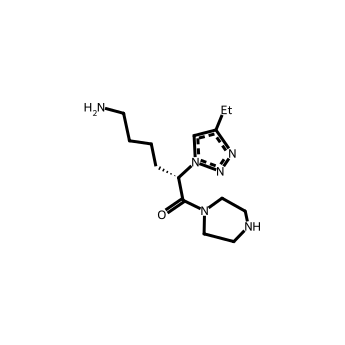 CCc1cn([C@@H](CCCCN)C(=O)N2CCNCC2)nn1